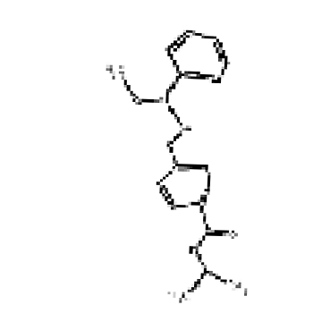 CON(NCc1ccc(C(=O)NC(C)C)cc1)c1ccccc1